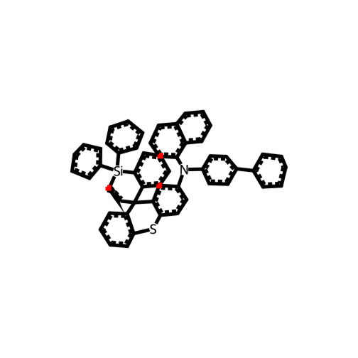 c1ccc(-c2ccc(N(c3ccc4c(c3)C3(c5ccccc5S4)c4ccccc4[Si](c4ccccc4)(c4ccccc4)c4ccccc43)c3cccc4ccccc34)cc2)cc1